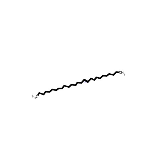 CCCCCCCCCC/C=C/CCCCCCCCCCCCCCC